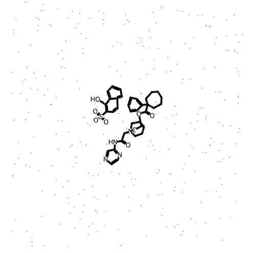 O=C(C[N+]12CCC(CC1)C(OC(=O)C1(c3ccccc3)CCCCCC1)C2)Nc1cnccn1.O=S(=O)([O-])c1ccc2ccccc2c1O